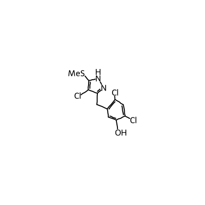 CSc1[nH]nc(Cc2cc(O)c(Cl)cc2Cl)c1Cl